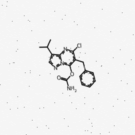 CC(C)c1cnn2c(OC(N)=O)c(Cc3ccccc3)c(Cl)nc12